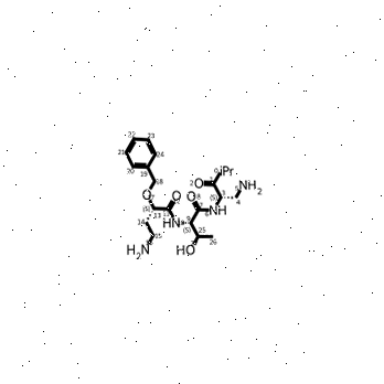 CC(C)C(=O)[C@H](CN)NC(=O)[C@@H](NC(=O)[C@H](CCN)OCc1ccccc1)C(C)O